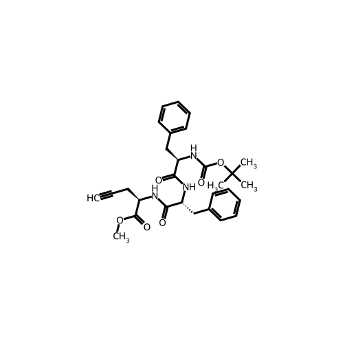 C#CC[C@@H](NC(=O)[C@@H](Cc1ccccc1)NC(=O)[C@@H](Cc1ccccc1)NC(=O)OC(C)(C)C)C(=O)OC